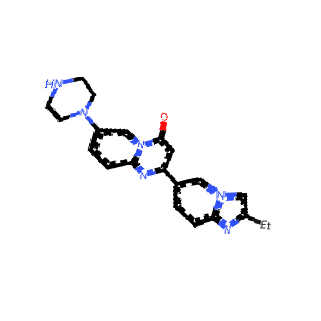 CCc1cn2cc(-c3cc(=O)n4cc(N5CCNCC5)ccc4n3)ccc2n1